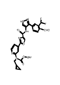 CC(C)(C)OC(=O)N(CC1CC1)c1cc(-c2nc(C(=O)Nc3c[nH]nc3-c3ccc(C=O)c(C(F)F)c3)co2)ccn1